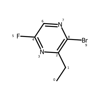 CCc1nc(F)cnc1Br